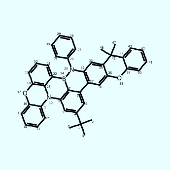 CC(C)(C)c1cc2c3c(c1)N1c4ccccc4Oc4cccc(c41)B3N(c1ccccc1)c1cc3c(cc1-2)Oc1ccccc1C3(C)C